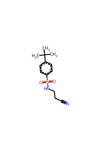 CC(C)(C)c1ccc(S(=O)(=O)NCCC#N)cc1